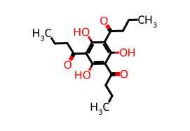 CCCC(=O)c1c(O)c(C(=O)CCC)c(O)c(C(=O)CCC)c1O